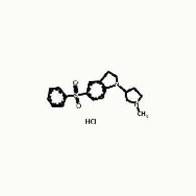 CN1CCC(N2CCc3cc(S(=O)(=O)c4ccccc4)ccc32)C1.Cl